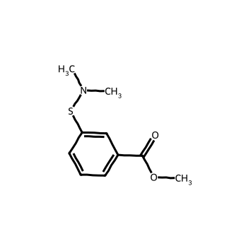 COC(=O)c1cccc(SN(C)C)c1